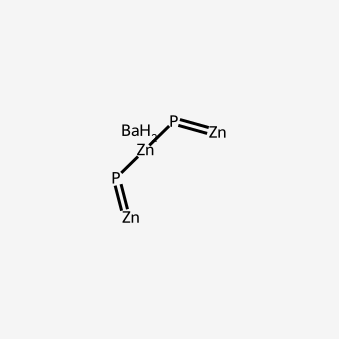 [BaH2].[Zn]=[P][Zn][P]=[Zn]